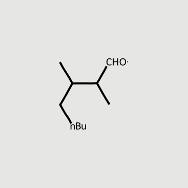 CCCCCC(C)C(C)[C]=O